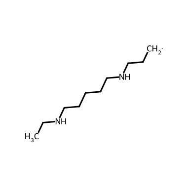 [CH2]CCNCCCCCNCC